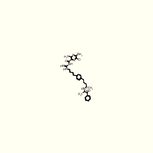 CC(N[C@@H](C)CCCc1ccc(CCCCNC(=N)NC(=O)c2nc(Cl)c(N)nc2N)cc1)C(O)c1ccccc1